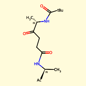 CC(=O)[C@H](C)NC(=O)CCC(=O)[C@H](C)NC(=O)C(C)(C)C